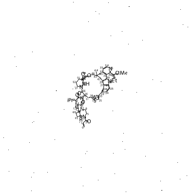 C=CC(=O)N1CCN(C(=O)N(C)C(C(=O)N[C@H]2Cc3nc(cs3)-c3ccc4c(c3)c(c(-c3cccnc3[C@H](C)OC)n4CC)CC(C)(C)COC(=O)[C@@H]3CCCN(N3)C2=O)C(C)C)[C@@H]2CC[C@@H]21